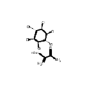 C=C(CCCCCCCCCC)C(N)=O.Cl[C@H]1[C@H](Cl)[C@@H](Cl)[C@@H](Cl)[C@H](Cl)[C@H]1Cl